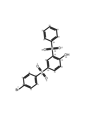 O=S(=O)(c1ccc(Br)cc1)c1ccc(O)c(S(=O)(=O)c2ccccc2)c1